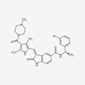 Cc1[nH]c(/C=C2\C(=O)Nc3ccc(C(=O)N[C@H](C)c4cccc(Cl)c4)cc32)c(C)c1C(=O)N1CCN(C)CC1